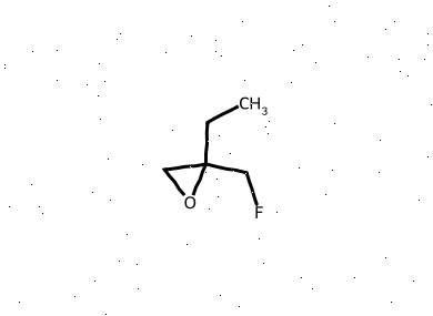 CCC1(CF)CO1